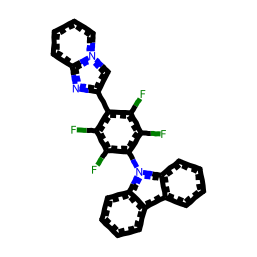 Fc1c(F)c(-n2c3ccccc3c3ccccc32)c(F)c(F)c1-c1cn2ccccc2n1